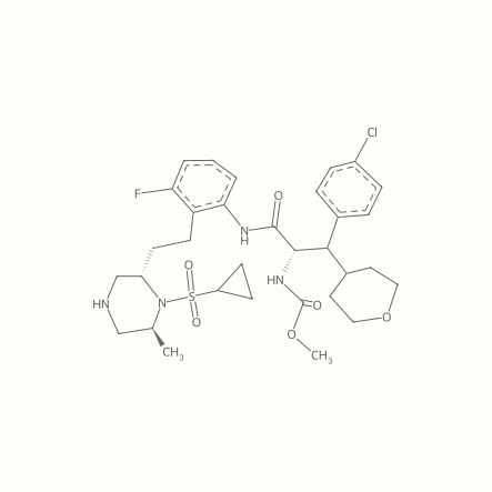 COC(=O)N[C@H](C(=O)Nc1cccc(F)c1CC[C@H]1CNC[C@H](C)N1S(=O)(=O)C1CC1)C(c1ccc(Cl)cc1)C1CCOCC1